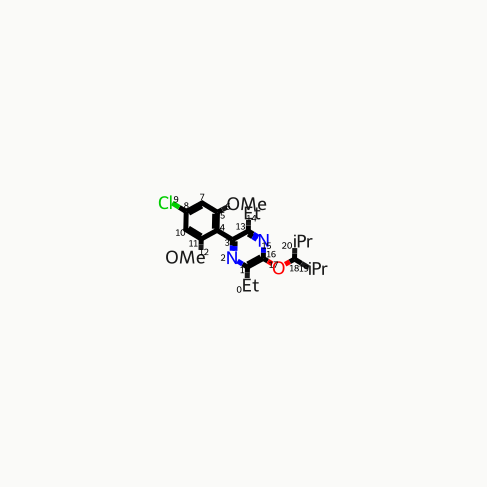 CCc1nc(-c2c(OC)cc(Cl)cc2OC)c(CC)nc1OC(C(C)C)C(C)C